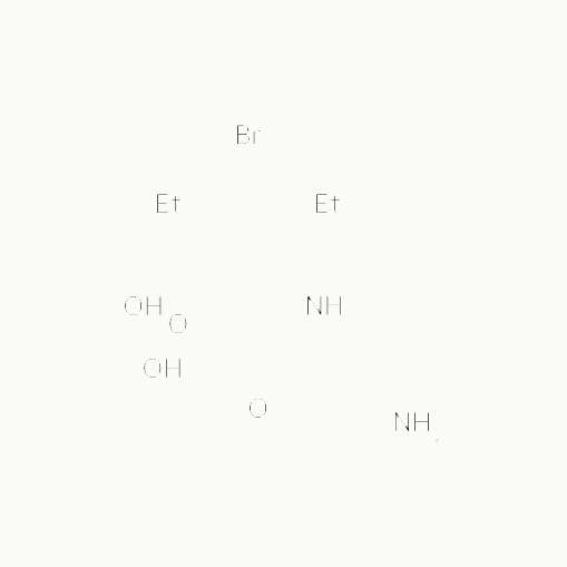 CCC(Br)(CC)C(=O)NC(N)=O.OO